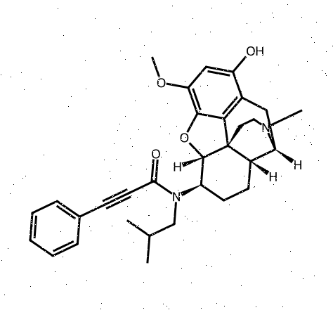 COc1cc(O)c2c3c1O[C@H]1[C@H](N(CC(C)C)C(=O)C#Cc4ccccc4)CC[C@H]4[C@@H](C2)N(C)CC[C@@]341